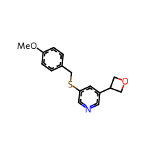 COc1ccc(CSc2cncc(C3COC3)c2)cc1